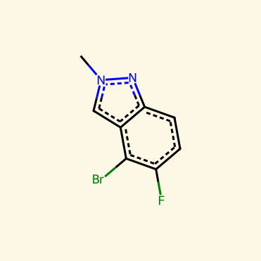 Cn1cc2c(Br)c(F)ccc2n1